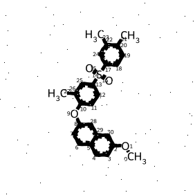 COc1ccc2ccc(Oc3ccc(S(=O)(=O)c4ccc(C)c(C)c4)cc3C)cc2c1